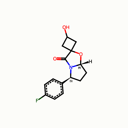 O=C1N2[C@@H](CC[C@H]2c2ccc(F)cc2)OC12CC(O)C2